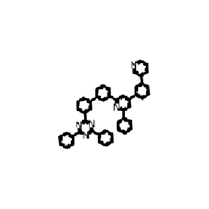 c1ccc(-c2cc(-c3cccc(-c4cccnc4)c3)cc(-c3cccc(-c4cccc(-c5nc(-c6ccccc6)nc(-c6ccccc6)n5)c4)c3)n2)cc1